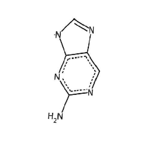 Nc1ncc2c(n1)[N]C=N2